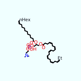 CC/C=C\C/C=C\C/C=C\C/C=C\C/C=C\C/C=C\CCC(=O)OCC(COP(=O)(O)OCCN(C)C)OC(=O)CCCCCCCCC/C=C\CCCCCC